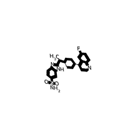 C[C@@H](c1nc2ccc(S(N)(=O)=O)cc2[nH]1)[C@H]1CC[C@@H](c2ccnc3ccc(F)cc32)CC1